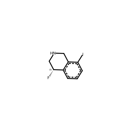 F[C@@H]1CNCc2c(I)cccc21